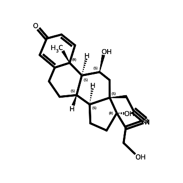 C[C@]12C=CC(=O)C=C1CC[C@@H]1[C@@H]2[C@@H](O)C[C@@]2(CC#N)[C@H]1CC[C@]2(O)C(=O)CO